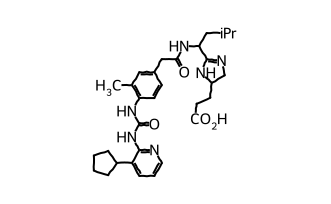 Cc1cc(CC(=O)NC(CC(C)C)C2=NCC(CCC(=O)O)N2)ccc1NC(=O)Nc1ncccc1C1CCCC1